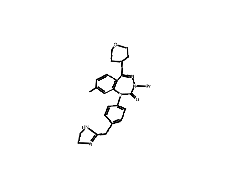 Cc1ccc2c(c1)N(c1ccc(CC3=NCCN3)cc1)C(=O)N(C(C)C)N=C2C1CCOCC1